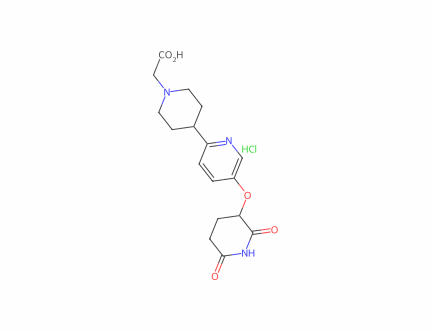 Cl.O=C(O)CN1CCC(c2ccc(OC3CCC(=O)NC3=O)cn2)CC1